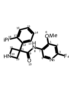 COc1cc(F)ncc1NC(=O)C1(c2ccccc2C(C)C)CNC1